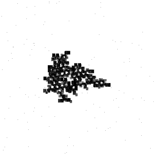 CC[C@H](C)[C@H](NC(=O)[C@@H]1C[C@@H](O)CN1C(=O)[C@@H](N)C(C)C)C(=O)N[C@H](C(=O)N[C@@H](Cc1ccc(O)cc1)C(=O)N[C@H](C(=O)N[C@@H](CC(N)=O)C(=O)N[C@@H](CCCNC(=N)N)C(=O)N[C@@H](CCN)C(=O)N[C@H](C(=O)N[C@H](CCN)C(=O)N[C@@H](CCCN)C(=O)N[C@@H](CCN)C(=O)N[C@@H](CO)C(=O)N[C@@H](CS)C(=O)N[C@@H](Cc1ccc(O)cc1)C(=O)O)[C@@H](C)O)[C@@H](C)O)C(C)(C)S